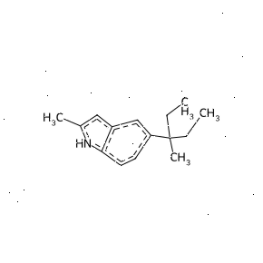 CCC(C)(CC)c1ccc2[nH]c(C)cc2c1